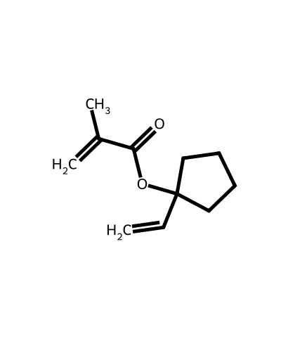 C=CC1(OC(=O)C(=C)C)CCCC1